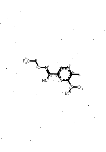 CC[S+]([O-])c1nc(/C(C#N)=N/OCC(F)(F)F)cnc1C